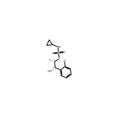 C[C@H](OS(=O)(=O)NC1CC1)[C@@H](O)c1ccccc1Cl